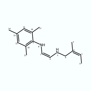 C/C=C(/C)CN/C=C\Nc1c(C)cc(C)cc1C